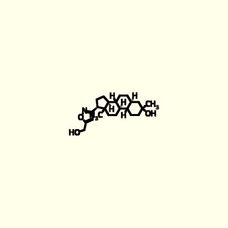 C[C@@]1(O)CC[C@H]2[C@@H](CC[C@@H]3[C@@H]2CC[C@]2(C)[C@@H](c4cc(CO)on4)CC[C@@H]32)C1